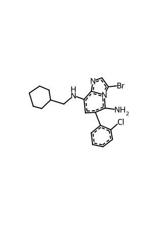 Nc1c(-c2ccccc2Cl)cc(NCC2CCCCC2)c2ncc(Br)n12